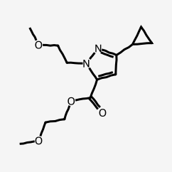 COCCOC(=O)c1cc(C2CC2)nn1CCOC